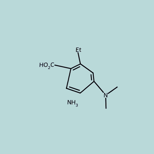 CCc1cc(N(C)C)ccc1C(=O)O.N